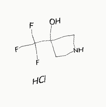 Cl.OC1(C(F)(F)F)CNC1